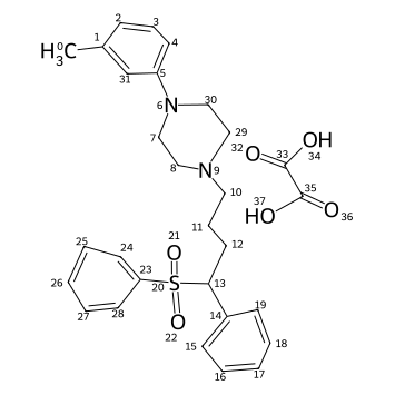 Cc1cccc(N2CCN(CCCC(c3ccccc3)S(=O)(=O)c3ccccc3)CC2)c1.O=C(O)C(=O)O